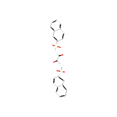 O=C(NS(=O)(=O)c1ccc2ccccc2c1)C(=O)NS(=O)(=O)c1ccc2ccccc2c1